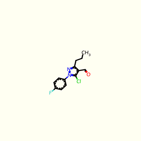 CCCc1nn(-c2ccc(F)cc2)c(Cl)c1C=O